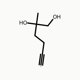 [C]#CCCC(C)(O)CO